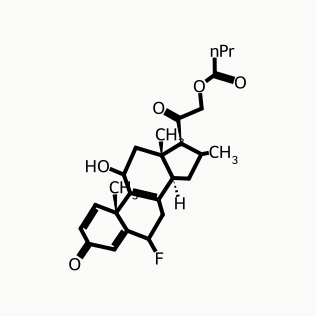 CCCC(=O)OCC(=O)[C@H]1C(C)C[C@H]2C3=C(C(O)C[C@@]21C)[C@@]1(C)C=CC(=O)C=C1C(F)C3